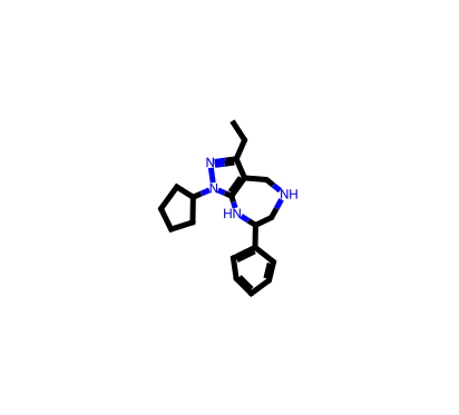 CCc1nn(C2CCCC2)c2c1CNCC(c1ccccc1)N2